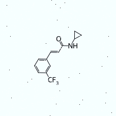 O=C(C=Cc1cccc(C(F)(F)F)c1)NC1CC1